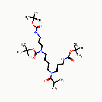 CC(C)C(=O)N(CCCCN(CCCNC(=O)OC(C)(C)C)C(=O)OC(C)(C)C)CCCNC(=O)OC(C)(C)C